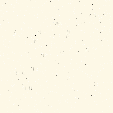 COc1ccncc1NC(=O)c1c(N)nn2ccc(N(C)CC3CCCN3)nc12